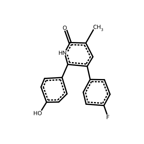 Cc1cc(-c2ccc(F)cc2)c(-c2ccc(O)cc2)[nH]c1=O